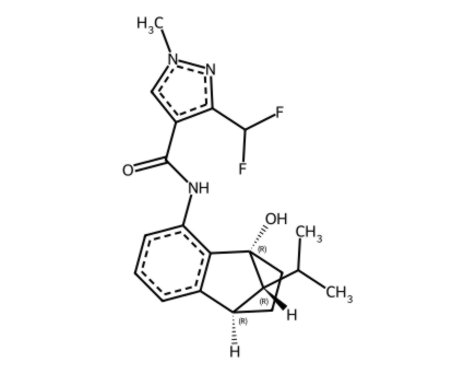 CC(C)[C@@H]1[C@H]2CC[C@]1(O)c1c(NC(=O)c3cn(C)nc3C(F)F)cccc12